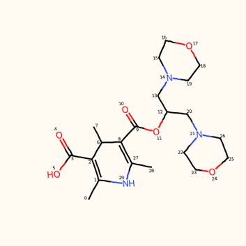 CC1=C(C(=O)O)C(C)C(C(=O)OC(CN2CCOCC2)CN2CCOCC2)=C(C)N1